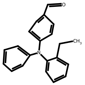 CCc1ccccc1N(c1ccccc1)c1ccc(C=O)cc1